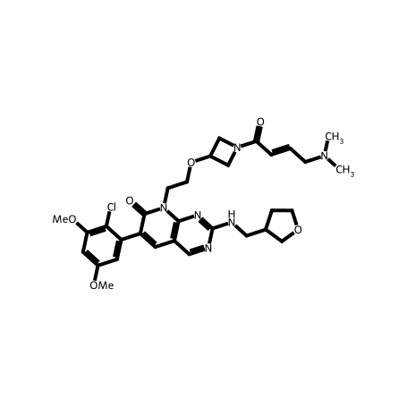 COc1cc(OC)c(Cl)c(-c2cc3cnc(NCC4CCOC4)nc3n(CCOC3CN(C(=O)C=CCN(C)C)C3)c2=O)c1